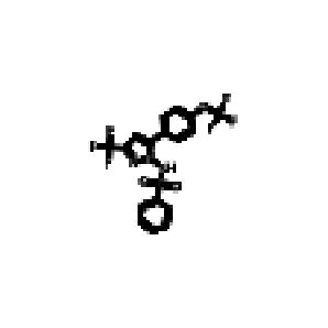 O=S(=O)(Nn1nc(C(F)(F)F)cc1-c1ccc(OC(F)(F)F)cc1)c1ccccc1